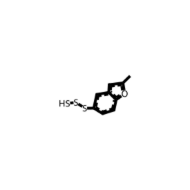 Cc1cc2cc(SSS)ccc2o1